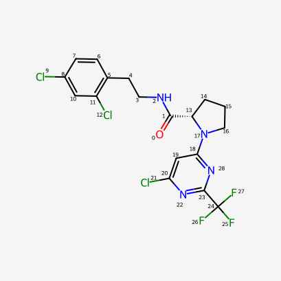 O=C(NCCc1ccc(Cl)cc1Cl)[C@@H]1CCCN1c1cc(Cl)nc(C(F)(F)F)n1